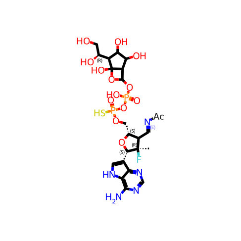 CC(=O)/N=C/C1[C@@H](COP(=O)(S)OP(=O)(O)OC2OC3(O)C2C(O)C(O)C3[C@@H](O)CO)O[C@@H](c2c[nH]c3c(N)ncnc23)[C@]1(C)F